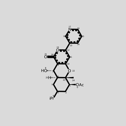 CC(=O)O[C@H]1CC(C(C)C)C[C@H]2[C@H](O)c3c(cc(-c4cccnc4)oc3=O)O[C@]12C